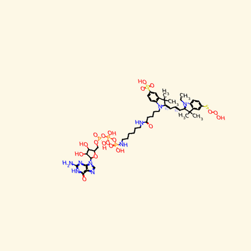 CC[N+]1=C(/C=C/C=C2/N(CCCCC(=O)NCCCCCCNP(=O)(O)OP(=O)(O)OP(=O)(O)OCC3OC(n4cnc5c(=O)[nH]c(N)nc54)C(O)C3O)c3ccc(S(=O)(=O)O)cc3C2(C)C)C(C)(C)c2cc(SOOO)ccc21